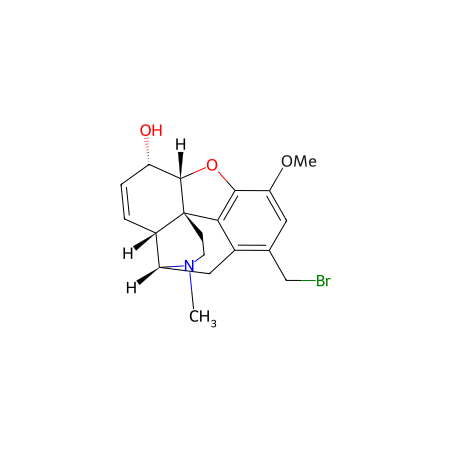 COc1cc(CBr)c2c3c1O[C@H]1[C@@H](O)C=C[C@H]4[C@@H](C2)N(C)CC[C@@]341